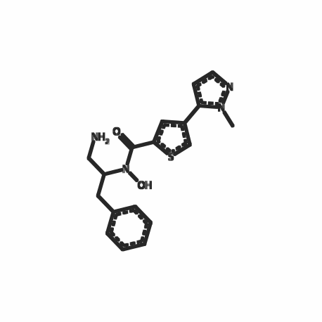 Cn1nccc1-c1csc(C(=O)N(O)C(CN)Cc2ccccc2)c1